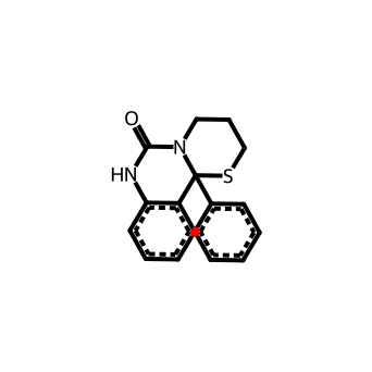 O=C1Nc2ccccc2C2(c3ccccc3)SCCCN12